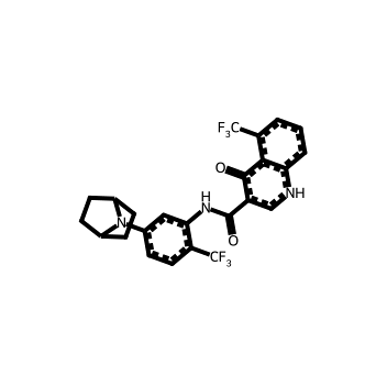 O=C(Nc1cc(N2C3CCC2CC3)ccc1C(F)(F)F)c1c[nH]c2cccc(C(F)(F)F)c2c1=O